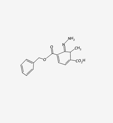 CC1C(C(=O)O)=CC=C(C(=O)OCc2ccccc2)C1=NN